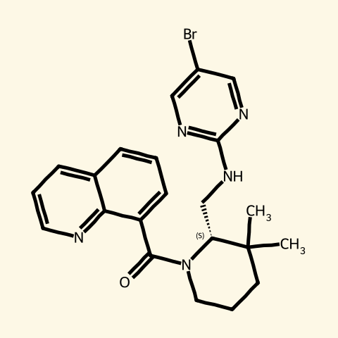 CC1(C)CCCN(C(=O)c2cccc3cccnc23)[C@@H]1CNc1ncc(Br)cn1